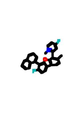 Cc1ccc2c(oc3c(-c4cccc5ccccc45)c(F)ccc32)c1-c1cc(F)cc[n+]1C